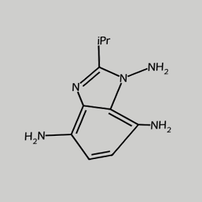 CC(C)c1nc2c(N)ccc(N)c2n1N